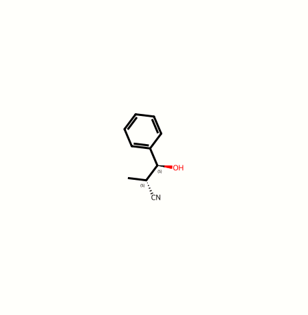 C[C@@H](C#N)[C@H](O)c1ccccc1